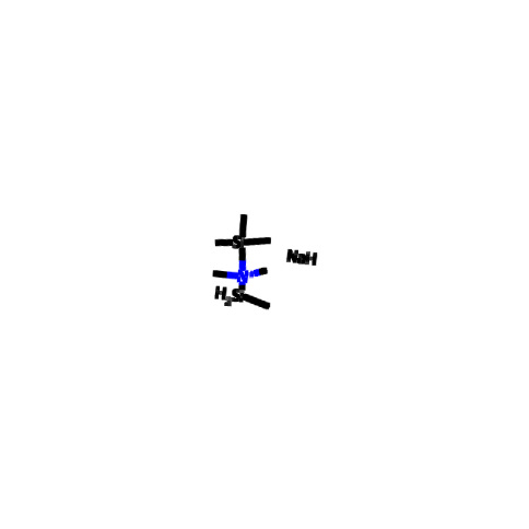 C[SiH2][N+](C)(C)[Si](C)(C)C.[NaH]